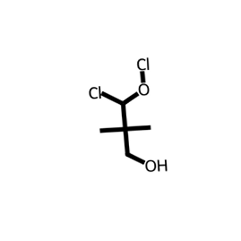 CC(C)(CO)C(Cl)OCl